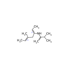 C=C(N/C(=C\C)C/C(C)=C/C)C(C)C